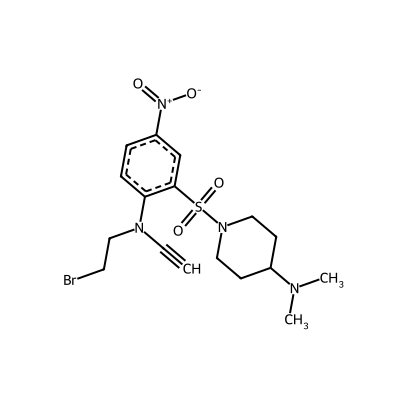 C#CN(CCBr)c1ccc([N+](=O)[O-])cc1S(=O)(=O)N1CCC(N(C)C)CC1